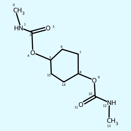 CNC(=O)OC1CCC(OC(=O)NC)CC1